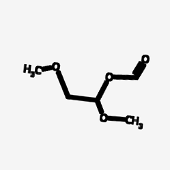 COCC(OC)OC=O